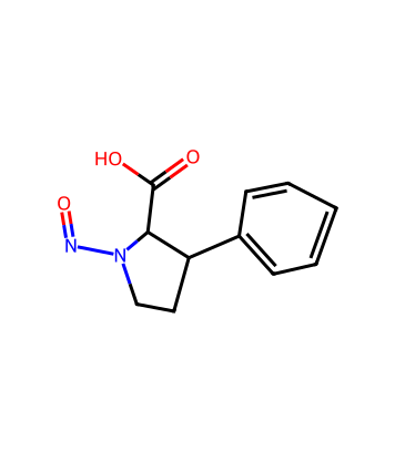 O=NN1CCC(c2ccccc2)C1C(=O)O